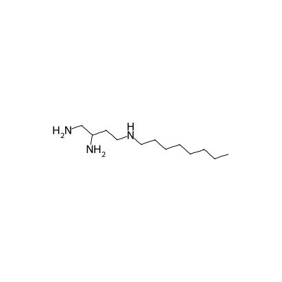 CCCCCCCCNCCC(N)CN